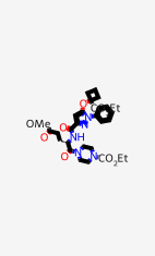 CCOC(=O)N1CCN(C(=O)[C@H](CCC(=O)OC)NC(=O)c2cc(OC3(C(=O)OCC)CCC3)n(-c3ccccc3)n2)CC1